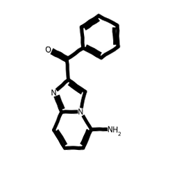 Nc1cccc2nc(C(=O)c3ccccc3)cn12